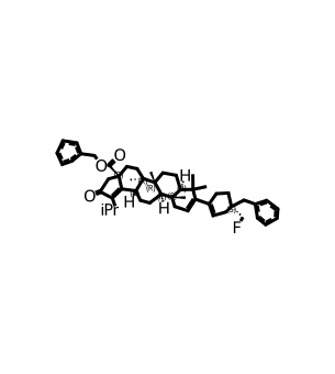 CC(C)C1=C2[C@H]3CC[C@@H]4[C@@]5(C)CC=C(C6=CC[C@](CF)(Cc7ccccc7)CC6)C(C)(C)[C@@H]5CC[C@@]4(C)[C@]3(C)CC[C@@]2(C(=O)OCc2ccccc2)CC1=O